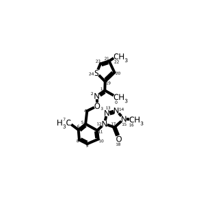 CC(=NOCc1c(C)cccc1-n1nnn(C)c1=O)c1cc(C)cs1